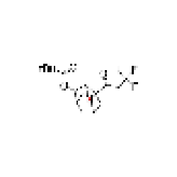 CC(C)(C)C(=O)OC1C2CC3CC(C2)C1N(C(=O)CC(F)(F)I)C3